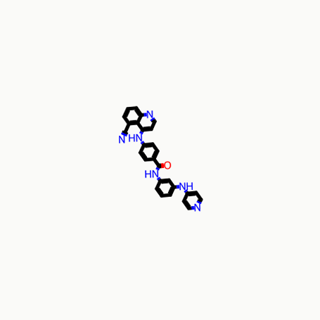 N#Cc1cccc2nccc(Nc3ccc(C(=O)Nc4cccc(Nc5ccncc5)c4)cc3)c12